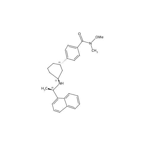 CON(C)C(=O)c1ccc([C@H]2CCC[C@H](N[C@H](C)c3cccc4ccccc34)C2)cc1